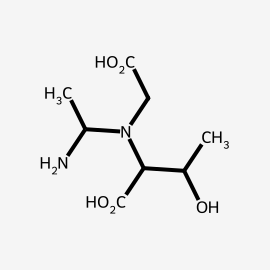 CC(O)C(C(=O)O)N(CC(=O)O)C(C)N